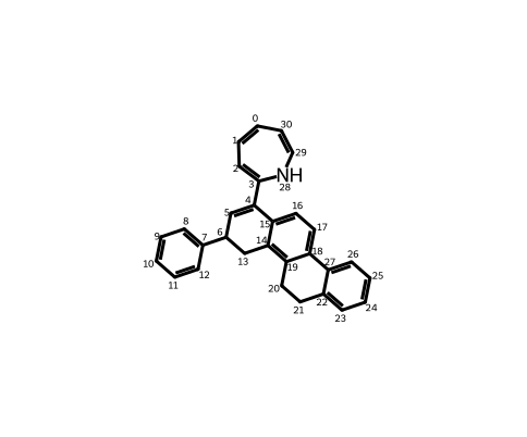 C1=CC=C(C2=CC(c3ccccc3)Cc3c2ccc2c3CCc3ccccc3-2)NC=C1